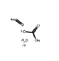 O.O=C(O)O.[Fe].[O]=[AlH]